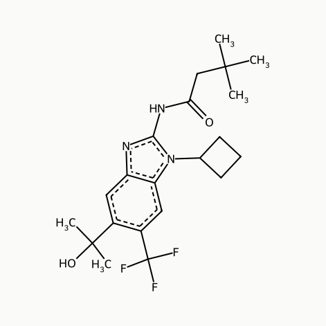 CC(C)(C)CC(=O)Nc1nc2cc(C(C)(C)O)c(C(F)(F)F)cc2n1C1CCC1